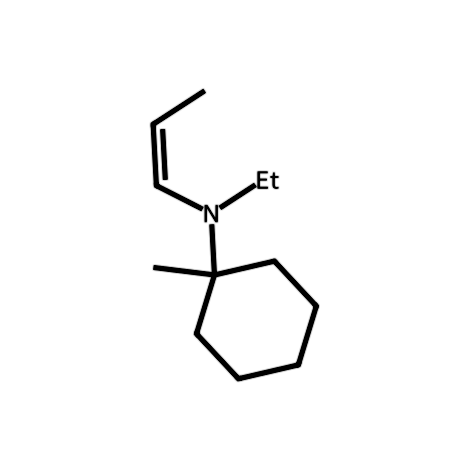 C/C=C\N(CC)C1(C)CCCCC1